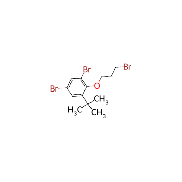 CC(C)(C)c1cc(Br)cc(Br)c1OCCCBr